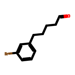 O=CCCCCc1cccc(Br)c1